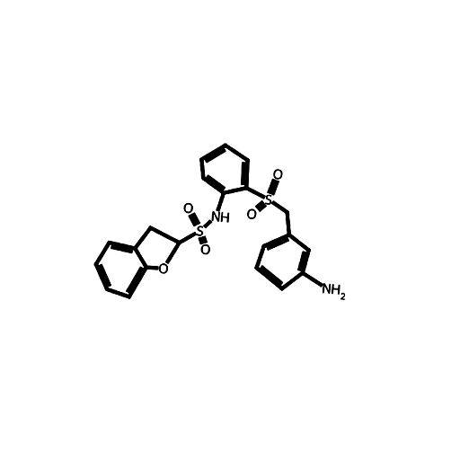 Nc1cccc(CS(=O)(=O)c2ccccc2NS(=O)(=O)C2Cc3ccccc3O2)c1